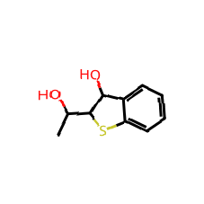 CC(O)C1Sc2ccccc2C1O